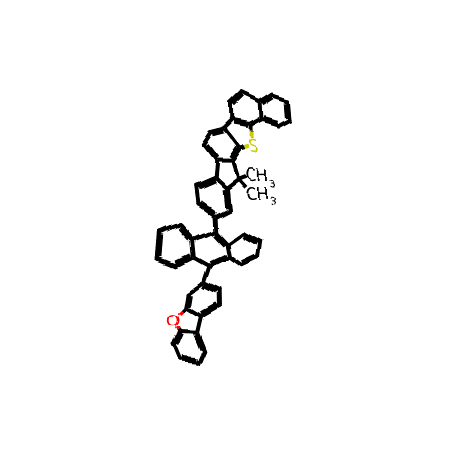 CC1(C)c2cc(-c3c4ccccc4c(-c4ccc5c(c4)oc4ccccc45)c4ccccc34)ccc2-c2ccc3c(sc4c5ccccc5ccc34)c21